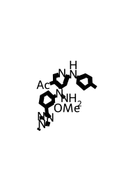 COc1c(-c2ncn(C)n2)cccc1N(N)c1cc(Nc2ccc(C)cc2)ncc1C(C)=O